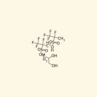 CC(F)(C(F)(F)F)S(=O)(=O)O.CC(F)(C(F)(F)F)S(=O)(=O)O.CC(O)CO